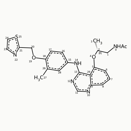 CC(=O)NC[C@@H](C)Oc1cccc2ncnc(Nc3ccc(OCc4nccs4)c(C)c3)c12